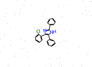 Clc1ccccc1-c1nc(-c2ccccc2)[nH]c1-c1ccccc1